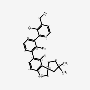 Cc1c(CC#N)ccnc1-c1cccc(-c2cnc3c(c2Cl)[C@@]2(CCC(C)(C)C2)CN3)c1F